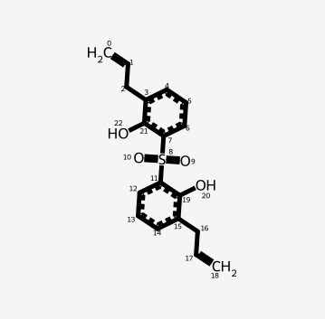 C=CCc1cccc(S(=O)(=O)c2cccc(CC=C)c2O)c1O